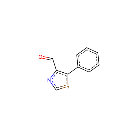 O=Cc1ncsc1-c1ccccc1